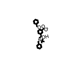 COC(=O)c1cc(C(O)CN(Cc2ccccc2)C(C)(C)C)ccc1OCc1ccccc1